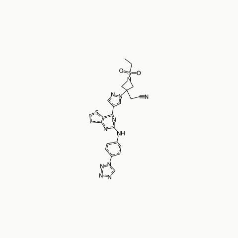 CCS(=O)(=O)N1CC(CC#N)(n2cc(-c3nc(Nc4ccc(-n5cnnn5)cc4)nc4ccsc34)cn2)C1